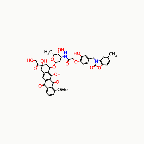 COc1cccc2c1C(=O)c1c(cc3c(c1O)[C@H](O[C@@H]1CC(NC(=O)COc4ccc(Cn5c(=O)oc6ccc(C)cc65)cc4O)[C@@H](O)[C@@H](C)O1)C[C@@](O)(C(=O)CO)C3)C2=O